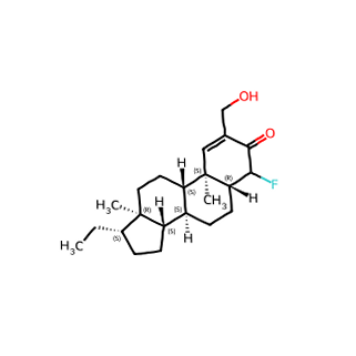 CC[C@H]1CC[C@H]2[C@@H]3CC[C@H]4C(F)C(=O)C(CO)=C[C@]4(C)[C@H]3CC[C@]12C